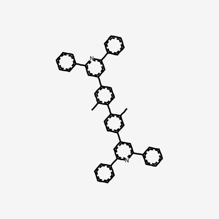 Cc1cc(-c2cc(-c3ccccc3)nc(-c3ccccc3)c2)ccc1-c1ccc(-c2cc(-c3ccccc3)nc(-c3ccccc3)c2)cc1C